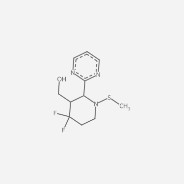 CSN1CCC(F)(F)C(CO)C1c1ncccn1